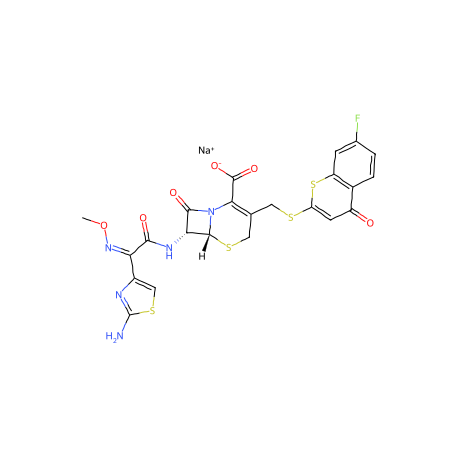 CO/N=C(\C(=O)N[C@@H]1C(=O)N2C(C(=O)[O-])=C(CSc3cc(=O)c4ccc(F)cc4s3)CS[C@H]12)c1csc(N)n1.[Na+]